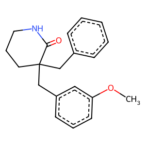 COc1cccc(CC2(Cc3ccccc3)CCCNC2=O)c1